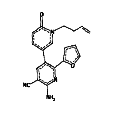 C=CCCn1cc(-c2cc(C#N)c(N)nc2-c2ccco2)ccc1=O